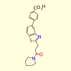 O=C(O)c1ccc(-c2ccc3sc(CCC(=O)N4CCCCC4)nc3c2)cc1